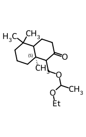 CCOC(C)OCC1C(=O)CCC2C(C)(C)CCC[C@]12C